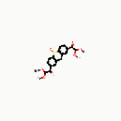 CCOC(OCC)C(=O)c1ccc2c(c1)Cc1cc(C(=O)C(OCC)OCC)ccc1[S+]2[O-]